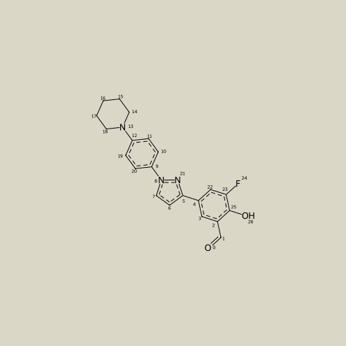 O=Cc1cc(-c2ccn(-c3ccc(N4CCCCC4)cc3)n2)cc(F)c1O